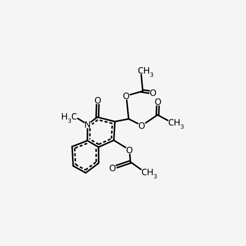 CC(=O)Oc1c(C(OC(C)=O)OC(C)=O)c(=O)n(C)c2ccccc12